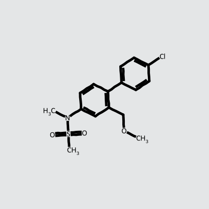 COCc1cc(N(C)S(C)(=O)=O)ccc1-c1ccc(Cl)cc1